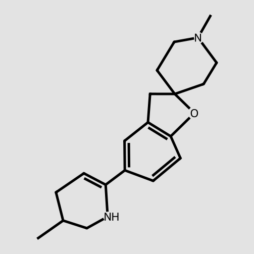 CC1CC=C(c2ccc3c(c2)CC2(CCN(C)CC2)O3)NC1